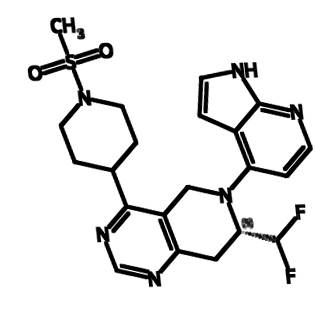 CS(=O)(=O)N1CCC(c2ncnc3c2CN(c2ccnc4[nH]ccc24)[C@H](C(F)F)C3)CC1